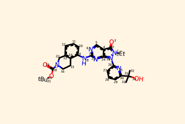 CCn1c(=O)c2cnc(Nc3cccc4c3CCN(C(=O)OC(C)(C)C)C4)nc2n1-c1cccc(C(C)(C)O)n1